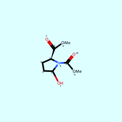 COC(=O)[C@@H]1CCC(O)N1C(=O)OC